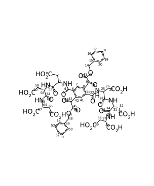 O=C(O)CC(NC(=O)c1cc(C(=O)C(=O)OCc2ccccc2)c(C(=O)NC(CC(=O)O)C(=O)N[C@H](CC(=O)O)C(=O)N[C@H](CC(=O)O)C(=O)O)cc1C(=O)C(=O)OCc1ccccc1)C(=O)N[C@H](CC(=O)O)C(=O)N[C@H](CC(=O)O)C(=O)O